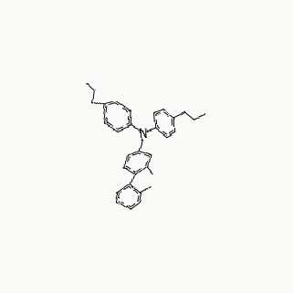 CCCc1ccc(N(c2ccc(CCC)cc2)c2ccc(-c3ccccc3C)c(C)c2)cc1